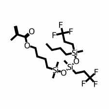 C=C(C)C(=O)OCCCC[Si](C)(C)O[Si](C)(CCC(F)(F)F)O[Si](C)(CCCC)CCC(F)(F)F